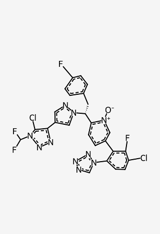 [O-][n+]1cc(-c2c(-n3cnnn3)ccc(Cl)c2F)ccc1[C@@H](Cc1ccc(F)cc1)n1cc(-c2nnn(C(F)F)c2Cl)cn1